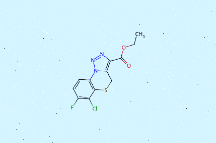 CCOC(=O)c1nnn2c1CSc1c-2ccc(F)c1Cl